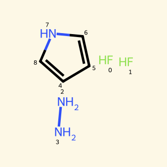 F.F.NN.c1cc[nH]c1